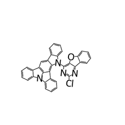 Clc1nc(-n2c3ccccc3c3cc4c5ccccc5n5c6ccccc6c(c32)c45)c2oc3ccccc3c2n1